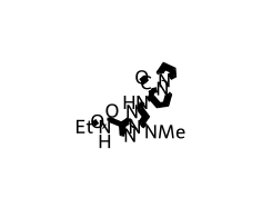 CCONC(=O)c1cnn2c(NC)cc(NC3=CC=CN(n4cccc4)C3=C=O)nc12